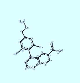 COCc1cc(F)c(-c2cccc3ccc(C(=O)O)cc23)c(F)c1